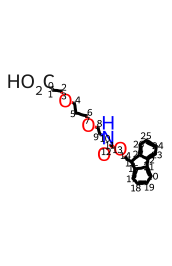 O=C(O)CCOCCCOCCNC(=O)OCC1c2ccccc2-c2ccccc21